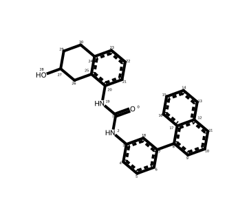 O=C(Nc1cccc(-c2cccc3ccccc23)c1)Nc1cccc2c1CC(O)CC2